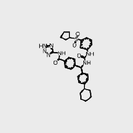 O=C(Nc1cccc(S(=O)(=O)C2CCCC2)c1)NC(c1ccc(C(=O)Nc2nn[nH]n2)cc1)c1ccc(C2CCCCC2)cc1